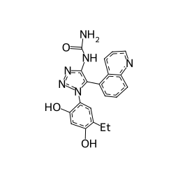 CCc1cc(-n2nnc(NC(N)=O)c2-c2cccc3ncccc23)c(O)cc1O